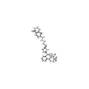 O=C(O)C(c1ccccc1C1CCC(F)(F)CO1)N1CC[C@@H](OCCCCc2ccc3c(n2)CCCN3)C1